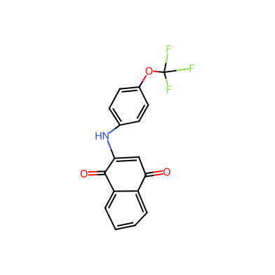 O=C1C=C(Nc2ccc(OC(F)(F)F)cc2)C(=O)c2ccccc21